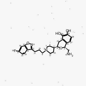 NC[C@H]1O[C@@H](C2CCN(CCCc3noc4cc(F)ccc34)CC2)Cc2c1ccc(O)c2O